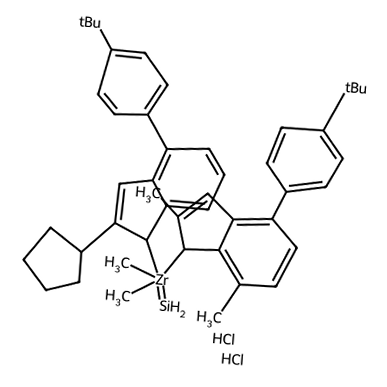 CC1=Cc2c(-c3ccc(C(C)(C)C)cc3)ccc(C)c2[CH]1[Zr]([CH3])([CH3])(=[SiH2])[CH]1C(C2CCCC2)=Cc2c(-c3ccc(C(C)(C)C)cc3)cccc21.Cl.Cl